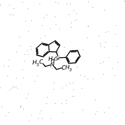 C1=Cc2ccccc2[C]1[SiH2]c1ccccc1.CCNCC